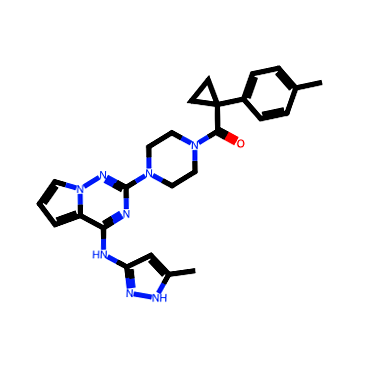 Cc1ccc(C2(C(=O)N3CCN(c4nc(Nc5cc(C)[nH]n5)c5cccn5n4)CC3)CC2)cc1